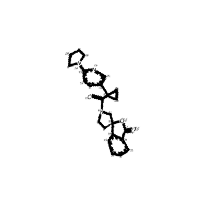 O=C1O[C@]2(CCN(C(=O)C3(c4ccc(N5CCCC5)nc4)CC3)C2)c2ccccc21